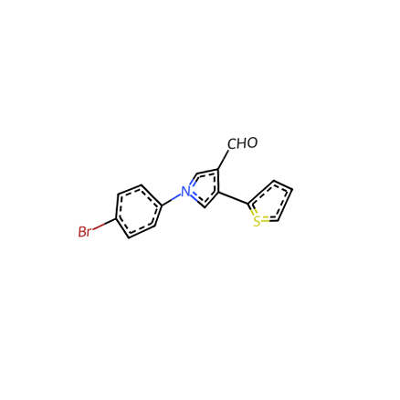 O=Cc1cn(-c2ccc(Br)cc2)cc1-c1cccs1